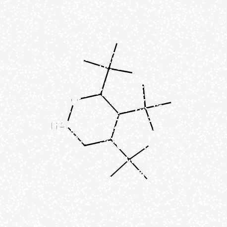 CC(C)(C)C1[CH2][AlH][O]C(C(C)(C)C)C1C(C)(C)C